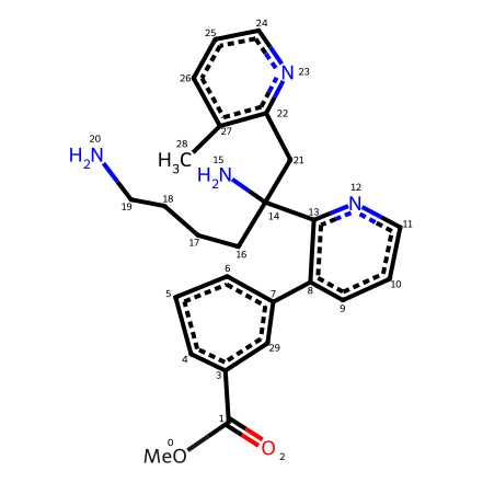 COC(=O)c1cccc(-c2cccnc2C(N)(CCCCN)Cc2ncccc2C)c1